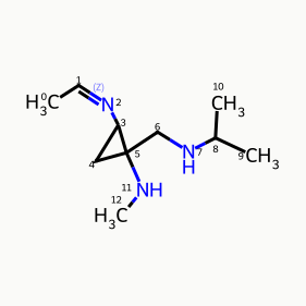 C/C=N\C1CC1(CNC(C)C)NC